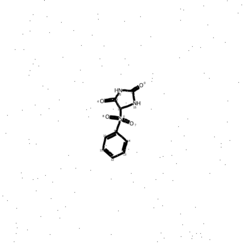 O=C1NC(=O)C(S(=O)(=O)c2ccccc2)N1